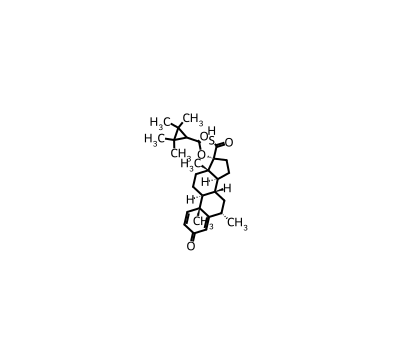 C[C@H]1C[C@@H]2[C@H](CC[C@@]3(C)[C@H]2CC[C@]3(OC(=O)C2C(C)(C)C2(C)C)C(=O)S)[C@@]2(C)C=CC(=O)C=C12